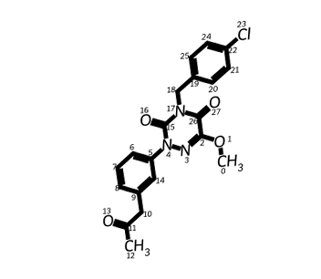 COc1nn(-c2cccc(CC(C)=O)c2)c(=O)n(Cc2ccc(Cl)cc2)c1=O